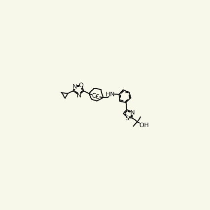 CC(C)(O)c1nc(-c2cccc(NCC34CCC(c5nc(C6CC6)no5)(CC3)CC4)c2)cs1